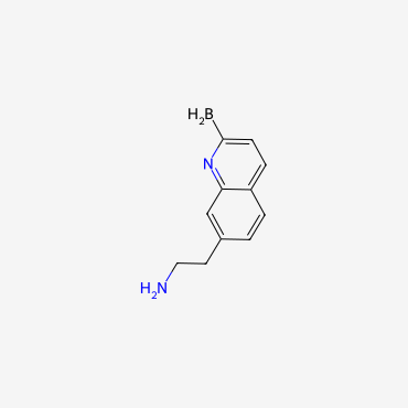 Bc1ccc2ccc(CCN)cc2n1